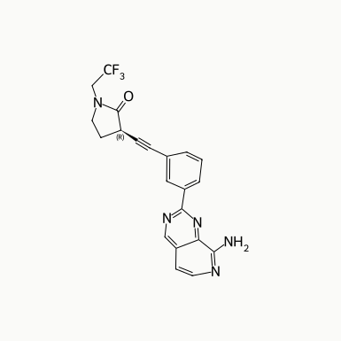 Nc1nccc2cnc(-c3cccc(C#C[C@H]4CCN(CC(F)(F)F)C4=O)c3)nc12